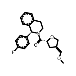 COC=C1CO[C@@H](C(=O)N2CCc3ccccc3[C@@H]2c2ccc(F)cc2)C1